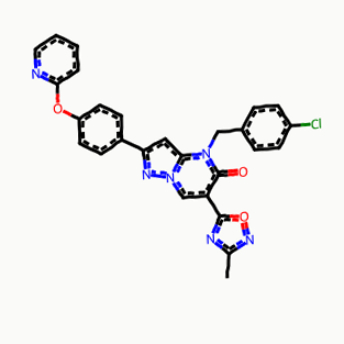 Cc1noc(-c2cn3nc(-c4ccc(Oc5ccccn5)cc4)cc3n(Cc3ccc(Cl)cc3)c2=O)n1